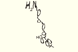 CC(C)(C)OC(=O)C(COCCOCCOCCOCCN)C(=O)O